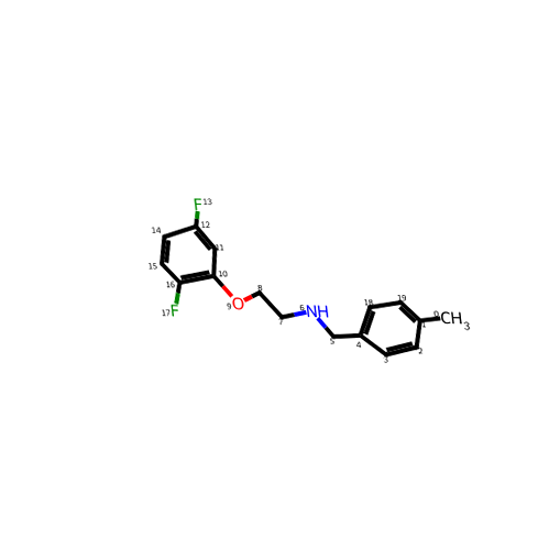 Cc1ccc(CNCCOc2cc(F)ccc2F)cc1